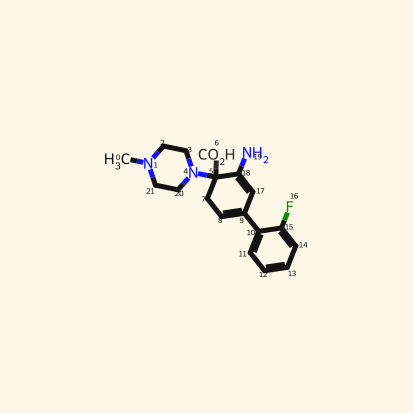 CN1CCN(C2(C(=O)O)CC=C(c3ccccc3F)C=C2N)CC1